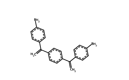 Bc1ccc(C(=C)c2ccc(C(=C)c3ccc(B)cc3)cc2)cc1